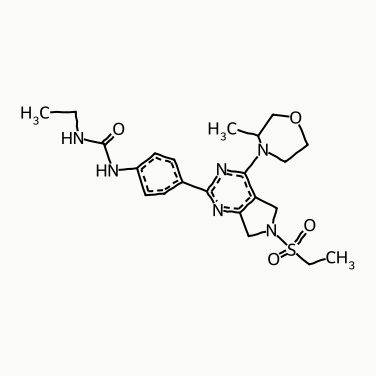 CCNC(=O)Nc1ccc(-c2nc3c(c(N4CCOCC4C)n2)CN(S(=O)(=O)CC)C3)cc1